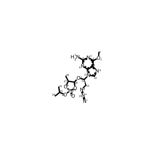 COc1nc(N)nc2c1ncn2[C@@H](CN=[N+]=[N-])OC1OP(=O)(OC(C)C)OC1C